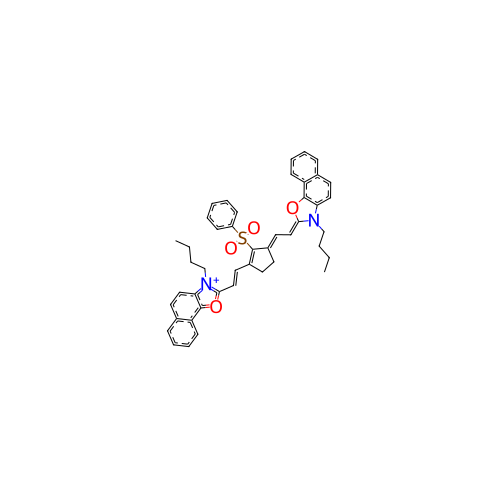 CCCCN1/C(=C/C=C2\CCC(/C=C/c3oc4c5ccccc5ccc4[n+]3CCCC)=C2S(=O)(=O)c2ccccc2)Oc2c1ccc1ccccc21